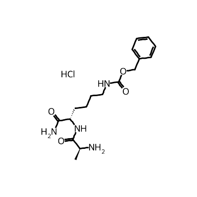 C[C@H](N)C(=O)N[C@@H](CCCCNC(=O)OCc1ccccc1)C(N)=O.Cl